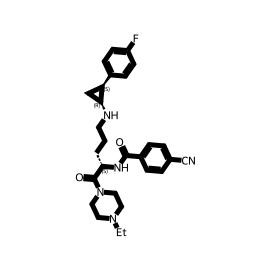 CCN1CCN(C(=O)[C@H](CCCN[C@@H]2C[C@H]2c2ccc(F)cc2)NC(=O)c2ccc(C#N)cc2)CC1